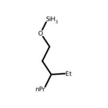 CCCC(CC)CCO[SiH3]